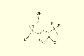 N#CC1(c2ccc(Cl)c(C(F)(F)F)c2)C[C@@H]1CO